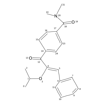 CC(C)OC(=Cc1ccccc1)C(=O)c1ccc(C(=O)N(C)C)cc1